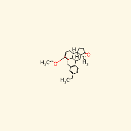 CCOC1=CC2=CC[C@@H]3C4C(C[C@]5(C)C(=O)CC[C@@H]35)c3ccc(CC)cc3C[C@]24CC1